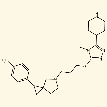 Cn1c(SCCCN2CCC3(CC3c3ccc(C(F)(F)F)cc3)C2)nnc1C1CCNCC1